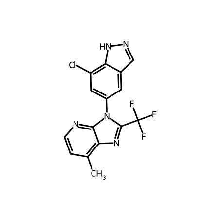 Cc1ccnc2c1nc(C(F)(F)F)n2-c1cc(Cl)c2[nH]ncc2c1